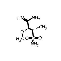 CO[C@H](C(=N)N)[C@H](C)S(N)(=O)=O